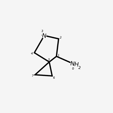 NC1C[N]CC12CC2